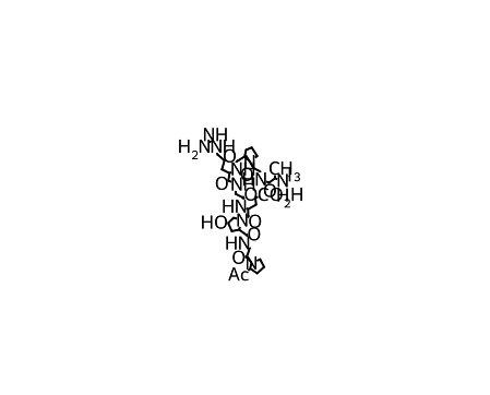 CC(=O)C1CCCN1C(=O)CNC(=O)C1CC(O)CN1C(=O)C(CCC(=O)O)NC(=O)CNC(=O)C(CCCNC(=N)N)NC(=O)C1CCCN1C(=O)CNC(=O)C(C)NI